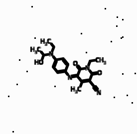 CCN1C(=O)C(C#N)=C(C)/C(=N/c2ccc(N(CC)C(C)O)cc2)C1=O